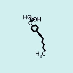 CCCCCCC#Cc1ccc(OB(O)O)cc1